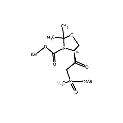 COP(C)(=O)CC(=O)[C@@H]1COC(C)(C)N1C(=O)OC(C)(C)C